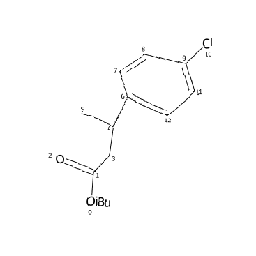 CC(C)COC(=O)CC(C)c1ccc(Cl)cc1